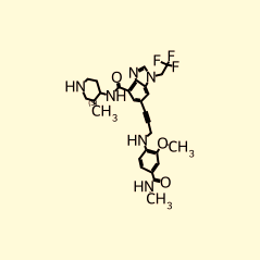 CNC(=O)c1ccc(NCC#Cc2cc(C(=O)NC3CCNC[C@@H]3C)c3ncn(CC(F)(F)F)c3c2)c(OC)c1